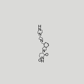 O=C1CCC(N2Cc3cccc(CN4CC(N5CCNCC5)C4)c3C2)C(=O)N1